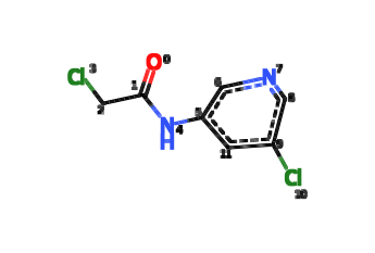 O=C(CCl)Nc1cncc(Cl)c1